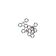 CC1(c2ccccc2)c2ccccc2-c2c(-c3ccccc3N(c3ccccc3-c3cccc4cccc(-c5ccccc5)c34)c3cccc4c3c3ccccc3n4-c3ccccc3)cccc21